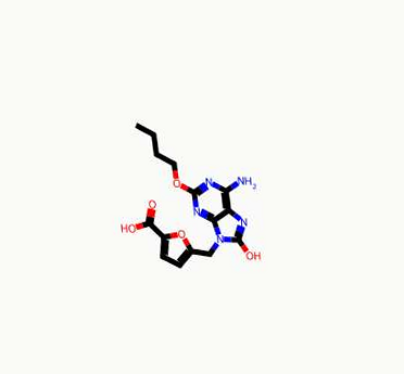 CCCCOc1nc(N)c2nc(O)n(Cc3ccc(C(=O)O)o3)c2n1